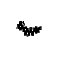 Cc1cc(C2CCC([C@@H](C)NC(=O)c3ccc(Cl)cc3)CC2)ccn1